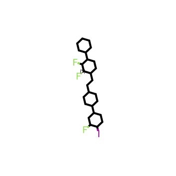 FC1CC(C2CCC(CCC3CCC(C4CCCCC4)C(F)[C@H]3F)CC2)CCC1I